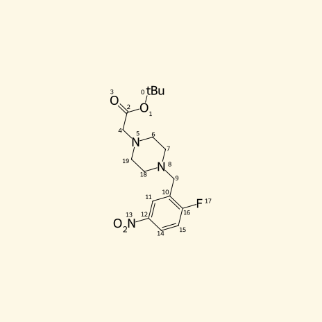 CC(C)(C)OC(=O)CN1CCN(Cc2cc([N+](=O)[O-])ccc2F)CC1